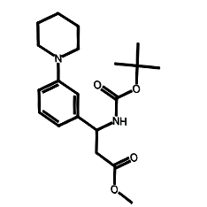 COC(=O)CC(NC(=O)OC(C)(C)C)c1cccc(N2CCCCC2)c1